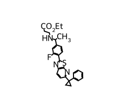 CCOC(=O)CCNC(C)c1ccc(-c2nc3ccc(C4(c5ccccc5)CC4)nc3s2)c(F)c1